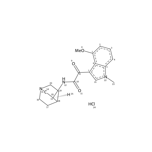 COc1cccc2c1c(C(=O)C(=O)N[C@@H]1CN3CCC1CC3)cn2C.Cl